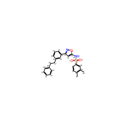 Cc1ccc(S(=O)(=O)Nc2cc(-c3cccc(CCc4ccccc4)c3)no2)cc1C